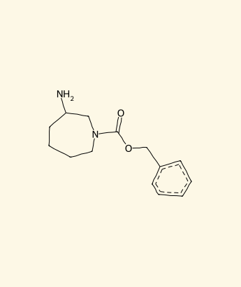 NC1CCCCN(C(=O)OCc2ccccc2)C1